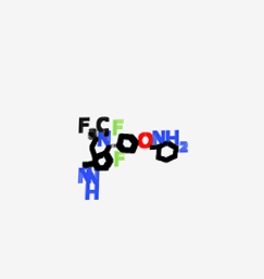 C[C@@H]1Cc2c(ccc3[nH]ncc23)[C@@H](c2c(F)cc(OCC3(N)CCCCC3)cc2F)N1CC(F)(F)F